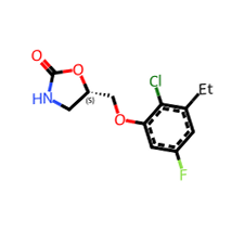 CCc1cc(F)cc(OC[C@@H]2CNC(=O)O2)c1Cl